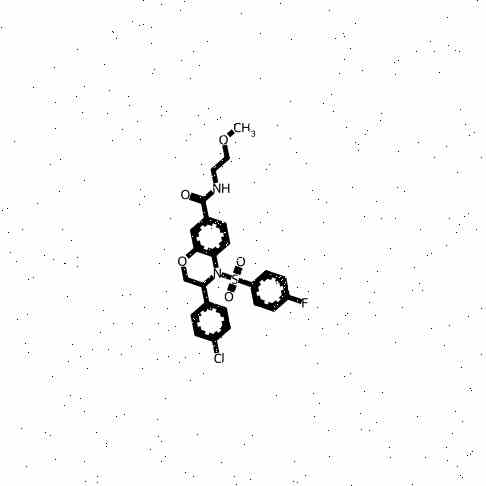 COCCNC(=O)c1ccc2c(c1)OCC(c1ccc(Cl)cc1)N2S(=O)(=O)c1ccc(F)cc1